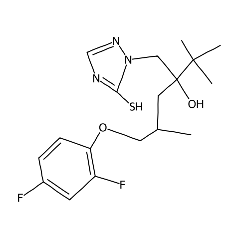 CC(COc1ccc(F)cc1F)CC(O)(Cn1ncnc1S)C(C)(C)C